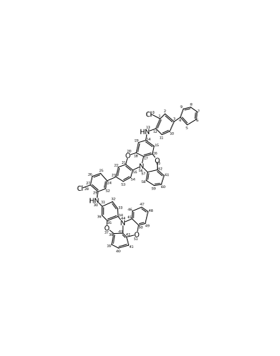 Clc1cc(-c2ccccc2)ccc1Nc1cc2c3c(c1)Oc1cc(-c4ccc(Cl)c(Nc5ccc6c(c5)Oc5cccc7c5N6c5ccccc5O7)c4)ccc1N3c1ccccc1O2